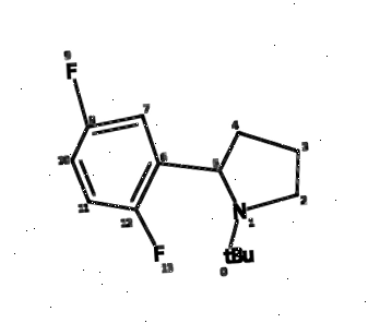 CC(C)(C)N1CCCC1c1cc(F)ccc1F